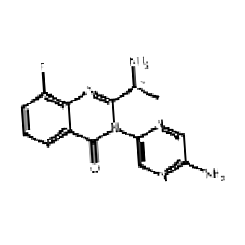 C[C@H](N)c1nc2c(F)cccc2c(=O)n1-c1cnc(N)cn1